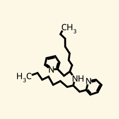 CCCCCCCC(Cc1ccccn1)NC(CCCCCCC)Cc1ccccn1